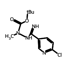 CN(NC(=N)c1ccc(Cl)nc1)C(=O)OC(C)(C)C